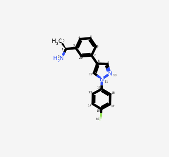 C[C@H](N)c1cccc(-c2cnn(-c3ccc(F)cc3)c2)c1